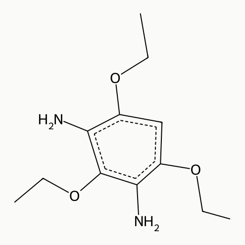 CCOc1cc(OCC)c(N)c(OCC)c1N